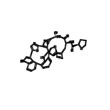 CC(C)[C@@H]1NC(=O)[C@@H](NC(=O)[C@H]2CCCO2)Cc2ccc3c(c2)C24c5cccc(c5NC2O3)-c2cccc3[nH]cc(c23)-c2cnc(o2)-c2nc1oc24